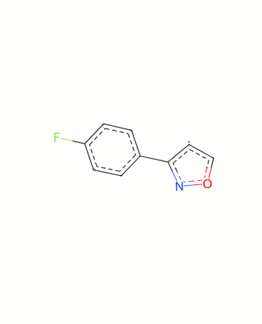 Fc1ccc(-c2[c]con2)cc1